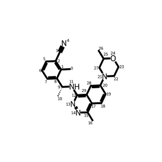 Cc1c(C#N)cccc1[C@@H](C)Nc1nnc(C)c2ccc(N3CCOC(C)C3)cc12